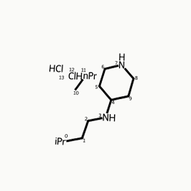 CC(C)CCNC1CCNCC1.CCCC.Cl.Cl